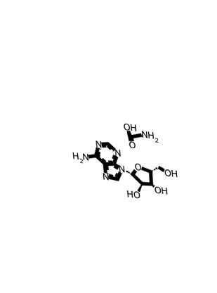 NC(=O)O.Nc1ncnc2c1ncn2[C@@H]1O[C@H](CO)[C@@H](O)[C@H]1O